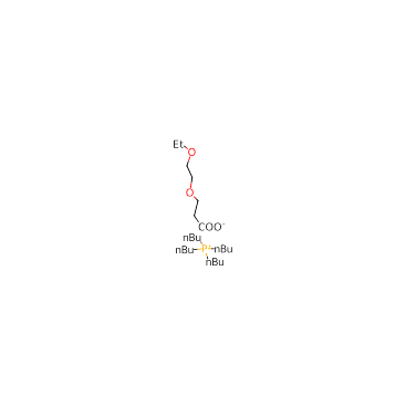 CCCC[P+](CCCC)(CCCC)CCCC.CCOCCOCCC(=O)[O-]